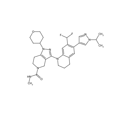 CNC(=O)N1CCc2c(c(N3CCCc4cc(-c5cnn(C(C)C)c5)c(C(F)F)cc43)nn2C2CCOCC2)C1